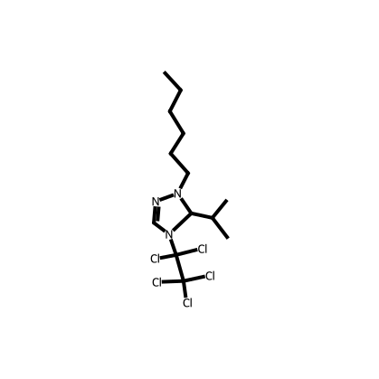 CCCCCCN1N=CN(C(Cl)(Cl)C(Cl)(Cl)Cl)C1C(C)C